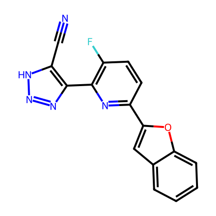 N#Cc1[nH]nnc1-c1nc(-c2cc3ccccc3o2)ccc1F